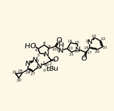 CC(C)(C)[C@@H](C(=O)N1CC(O)CC1C(=O)NC1CCN(C(=O)c2ccccn2)C1)n1cc(C2CC2)nn1